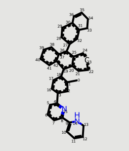 Cc1cc(-c2cccc(C3=CC=CCN3)n2)ccc1-c1c2ccccc2c(-c2ccc3c(c2)CCC=C3)c2ccccc12